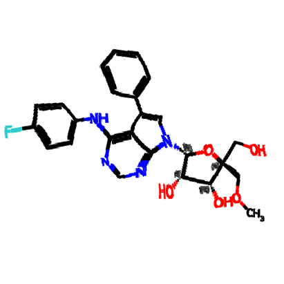 COC[C@]1(CO)O[C@@H](n2cc(-c3ccccc3)c3c(Nc4ccc(F)cc4)ncnc32)[C@@H](O)[C@H]1O